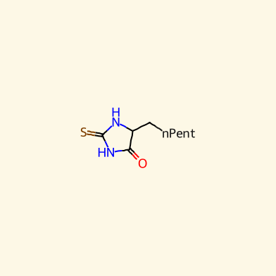 CCCCCCC1NC(=S)NC1=O